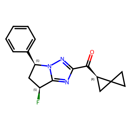 O=C(c1nc2n(n1)[C@H](c1ccccc1)C[C@@H]2F)[C@@H]1CC12CC2